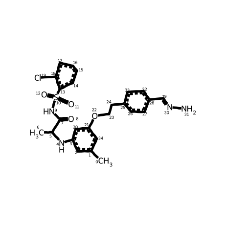 Cc1cc(NC(C)C(=O)NS(=O)(=O)c2ccccc2Cl)cc(OCCc2ccc(C=NN)cc2)c1